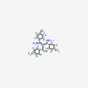 N#C/C(=C1\C(=C(N)c2c(F)c(F)c(C(F)(F)F)c(F)c2F)\C1=C(\N)c1c(F)c(F)c(C(F)(F)F)c(F)c1F)c1c(F)c(F)c(C(F)(F)F)c(F)c1F